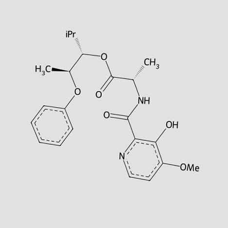 COc1ccnc(C(=O)N[C@@H](C)C(=O)O[C@@H](C(C)C)[C@H](C)Oc2ccccc2)c1O